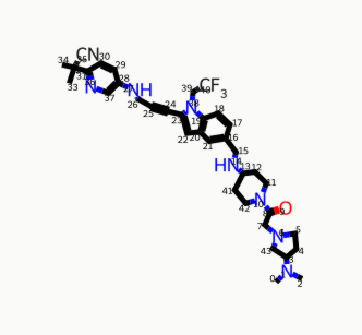 CN(C)C1CCN(CC(=O)N2CCC(NCc3ccc4c(c3)cc(C#CCNc3ccc(C(C)(C)C#N)nc3)n4CC(F)(F)F)CC2)C1